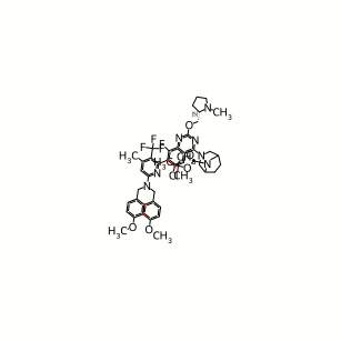 COc1ccc(CN(Cc2ccc(OC)cc2)c2cc(C)c(C(F)(F)F)c(-c3c(Cl)cc4c(N5CC6CCC(C5)N(C(=O)OC(C)(C)C)C6)nc(OC[C@@H]5CCCN5C)nc4c3F)n2)cc1